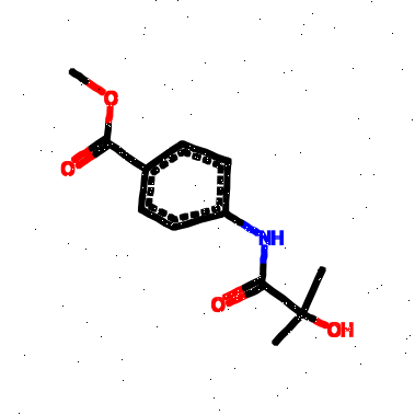 COC(=O)c1ccc(NC(=O)C(C)(C)O)cc1